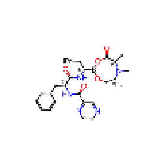 CC(C)C[C@H](NC(=O)[C@H](Cc1ccccc1)NC(=O)c1cnccn1)B1OC[C@@H](C)N(C)[C@H](C)C(=O)O1